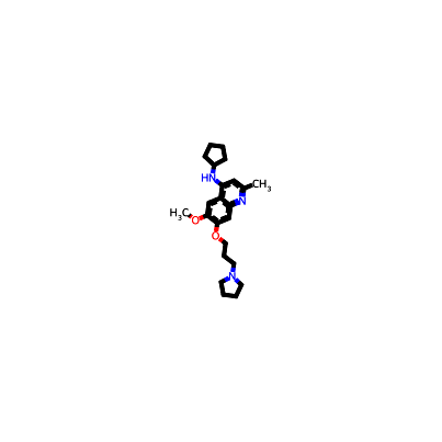 COc1cc2c(NC3CCCC3)cc(C)nc2cc1OCCCN1CCCC1